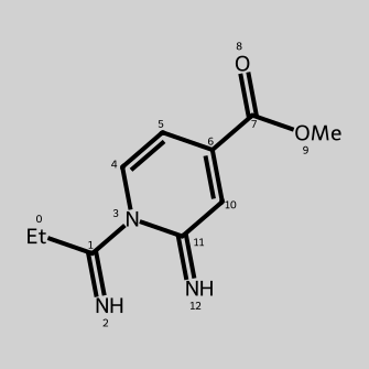 CCC(=N)n1ccc(C(=O)OC)cc1=N